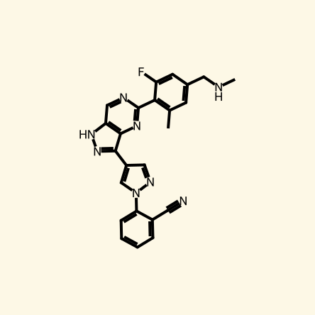 CNCc1cc(C)c(-c2ncc3[nH]nc(-c4cnn(-c5ccccc5C#N)c4)c3n2)c(F)c1